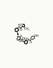 Cc1ccoc1C(=O)Nc1cccc(C#C[C@H]2C=NC=C(C(=O)Nc3cccc(CC(=O)N4CCC(O)CC4)c3O)C2=S)c1